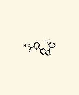 CC(=O)c1cccc(-c2ccc3cnc(-c4cccc(C)n4)n3c2)n1